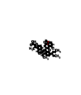 CCCN(CC)c1ccc(N(CC)S(=O)(=O)c2ccc3oc(C(=O)O)c(C)c3c2CC)c(CN(Cc2ccco2)C(=O)c2ccccc2Cl)c1